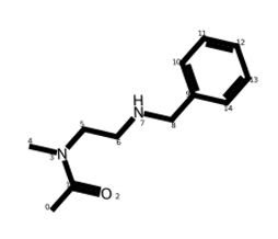 CC(=O)N(C)CCNCc1ccccc1